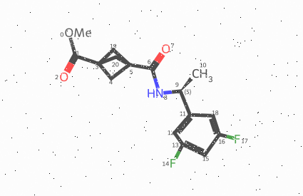 COC(=O)C12CC(C(=O)N[C@@H](C)c3cc(F)cc(F)c3)(C1)C2